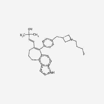 CC(C)(O)/C=C/C1=C(c2ccc(CC3CN(CCCF)C3)cc2)c2ccc3[nH]ccc3c2CCC1